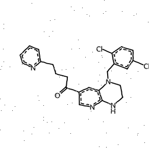 O=C(CCCc1ccccn1)c1cnc2c(c1)N(Cc1cc(Cl)ccc1Cl)CCN2